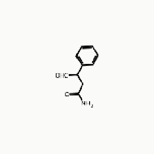 NC(=O)CC(C=O)c1ccccc1